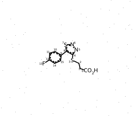 O=C(O)CCSc1nnsc1-c1ccc(F)cc1